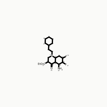 CCOC(=O)C1CN(CCC2CCCCC2)C2CC(F)C(F)C(N)C2C1=O